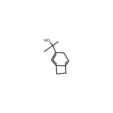 CC(C)(O)C1=C=C2CCC2=CC1